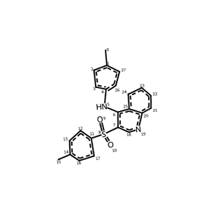 Cc1ccc(Nc2c(S(=O)(=O)c3ccc(C)cc3)cnc3ccccc23)cc1